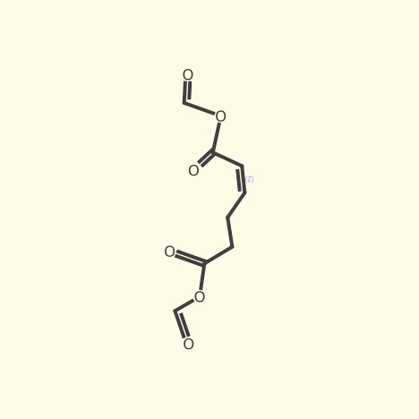 O=COC(=O)/C=C\CCC(=O)OC=O